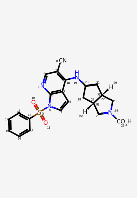 N#Cc1cnc2c(ccn2S(=O)(=O)c2ccccc2)c1NC1C[C@@H]2CN(C(=O)O)C[C@@H]2C1